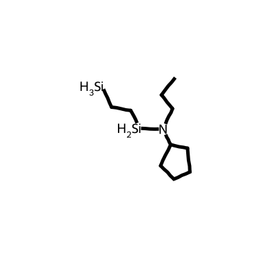 CCCN([SiH2]CC[SiH3])C1CCCC1